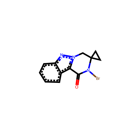 O=C1c2c3ccccc3nn2CC2(CC2)N1Br